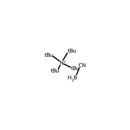 BC#N.CC(C)(C)[N+](C(C)(C)C)(C(C)(C)C)C(C)(C)C